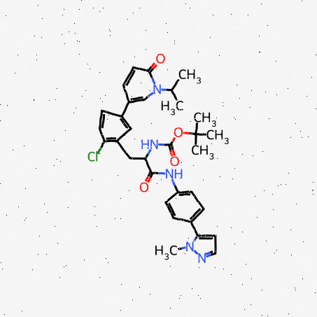 CC(C)n1cc(-c2ccc(Cl)c(CC(NC(=O)OC(C)(C)C)C(=O)Nc3ccc(-c4ccnn4C)cc3)c2)ccc1=O